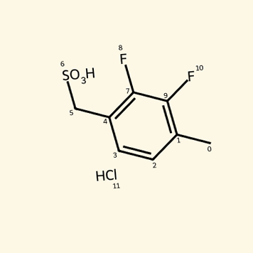 Cc1ccc(CS(=O)(=O)O)c(F)c1F.Cl